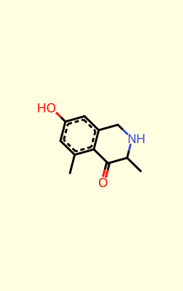 Cc1cc(O)cc2c1C(=O)C(C)NC2